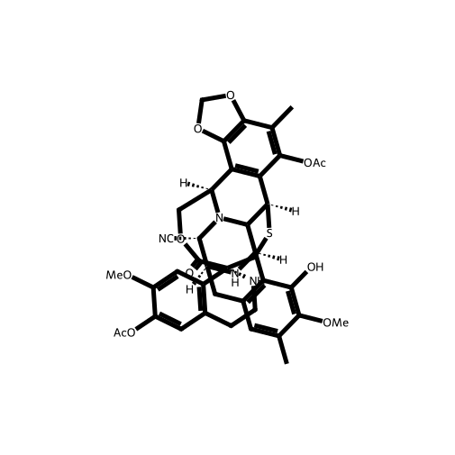 COc1cc2c(cc1OC(C)=O)CCN[C@]21CS[C@@H]2c3c(OC(C)=O)c(C)c4c(c3[C@H](COC1=O)N1C2[C@@H]2N[C@@H](Cc3cc(C)c(OC)c(O)c32)[C@@H]1C#N)OCO4